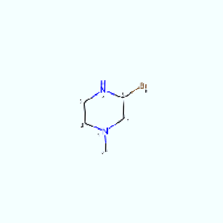 CN1[CH]CNC(Br)C1